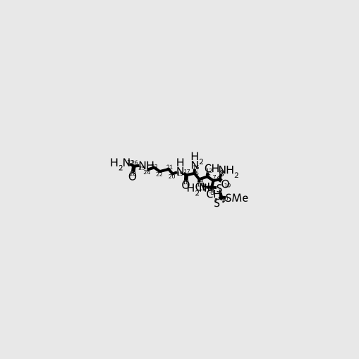 CSC(=S)SC(C)(N)C(C(N)=O)C(C)C(C)C(N)C(=O)NCCCCCNC(N)=O